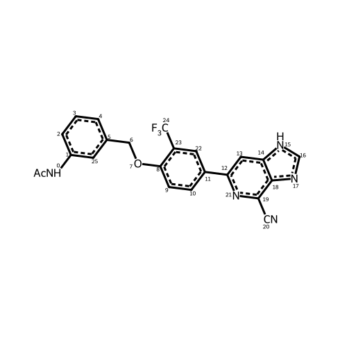 CC(=O)Nc1cccc(COc2ccc(-c3cc4[nH]cnc4c(C#N)n3)cc2C(F)(F)F)c1